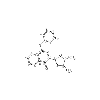 CC1SC(c2c[n+](Cc3cncnc3)c3ccccn3c2=O)SC1C